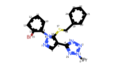 CC(C)n1nnc(-c2cnn(-c3ccccc3Br)c2SCc2ccccc2)n1